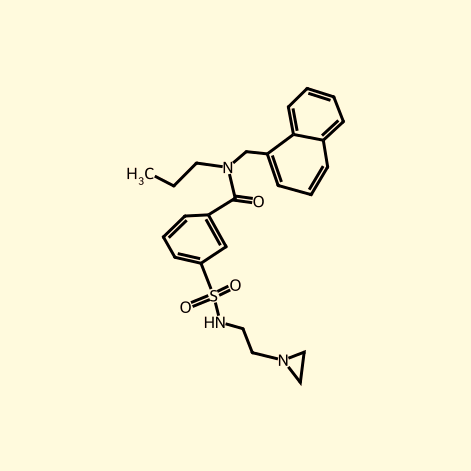 CCCN(Cc1cccc2ccccc12)C(=O)c1cccc(S(=O)(=O)NCCN2CC2)c1